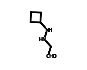 O=CCNNC1CCC1